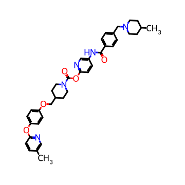 Cc1ccc(Oc2ccc(OCC3CCN(C(=O)Oc4ccc(NC(=O)c5ccc(CN6CCC(C)CC6)cc5)cn4)CC3)cc2)nc1